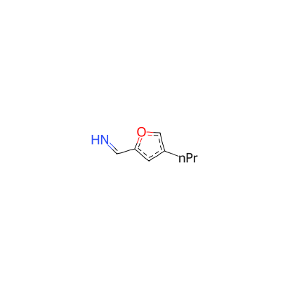 CCCc1coc(C=N)c1